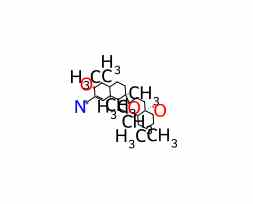 CC(=O)C[C@@H]1[C@@]2(C)C=C(C#N)C(=O)C(C)(C)C2CC[C@@]1(C)[C@]1(C)CC[C@@]2(C=O)CCC(C)(C)CC2C1